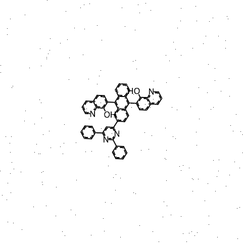 Oc1c(-c2c3ccccc3c(-c3ccc4cccnc4c3O)c3cc(-c4cc(-c5ccccc5)nc(-c5ccccc5)n4)ccc23)ccc2cccnc12